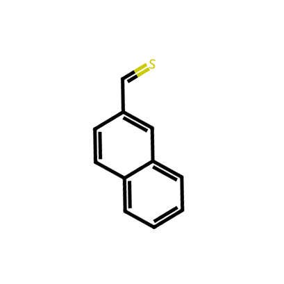 S=Cc1ccc2ccccc2c1